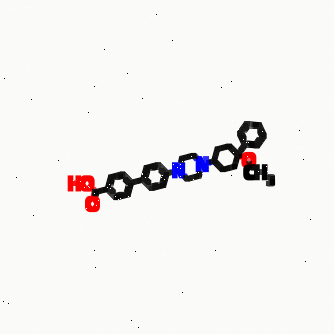 CO[C@]1(c2ccccc2)CC[C@H](N2CCN(c3ccc(-c4ccc(C(=O)O)cc4)cc3)CC2)CC1